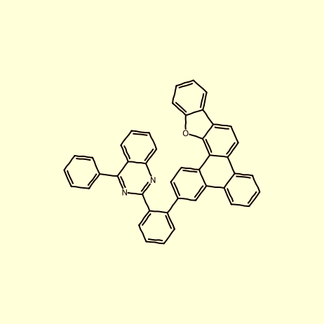 c1ccc(-c2nc(-c3ccccc3-c3ccc4c(c3)c3ccccc3c3ccc5c6ccccc6oc5c34)nc3ccccc23)cc1